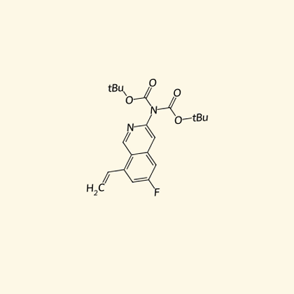 C=Cc1cc(F)cc2cc(N(C(=O)OC(C)(C)C)C(=O)OC(C)(C)C)ncc12